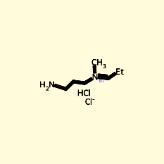 Cl.[CH2]C/[C]=[N+](\C)CCCN.[Cl-]